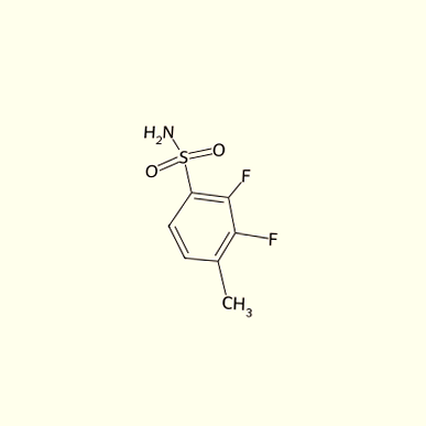 Cc1ccc(S(N)(=O)=O)c(F)c1F